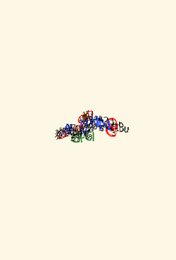 CC(C)(C)OC(=O)N1CCN(c2nc(S(C)(=O)=O)nc3c(Oc4c(Cl)c(Cl)cc5c4cnn5C4CCCCO4)nc(Cl)cc23)CC1